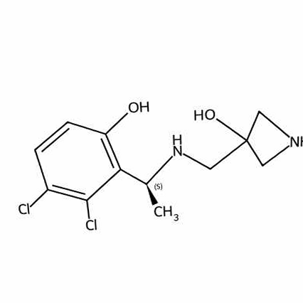 C[C@H](NCC1(O)CNC1)c1c(O)ccc(Cl)c1Cl